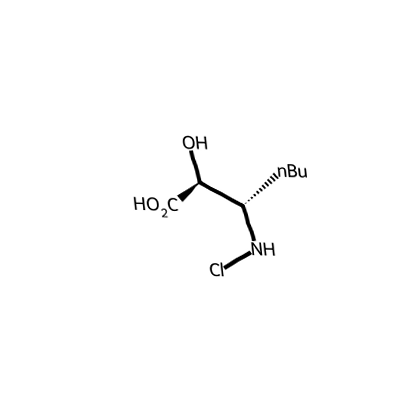 CCCC[C@H](NCl)[C@H](O)C(=O)O